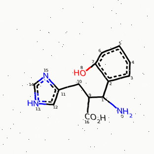 NC(c1ccccc1O)C(Cc1c[nH]cn1)C(=O)O